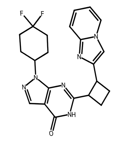 O=c1[nH]c(C2CCC2c2cn3ccccc3n2)nc2c1cnn2C1CCC(F)(F)CC1